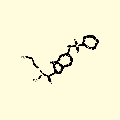 CN(CCCN)C(=O)c1cc2ccc(NS(=O)(=O)c3ccccc3)cc2[nH]1